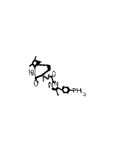 Cc1cc(C)c2c(c1)CC/C(=N\C(=O)c1ncc(C)c(-c3ccc(P)cc3)n1)C(=O)N2